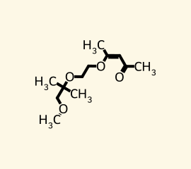 COCC(C)(C)OCCO/C(C)=C\C(C)=O